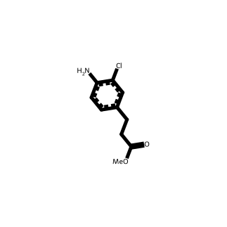 COC(=O)CCc1ccc(N)c(Cl)c1